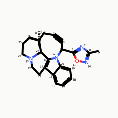 CC[C@@]12CC#CC(c3nc(C)no3)n3c4c(c5ccccc53)CCN(CCC1)C42